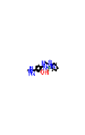 CN(c1cnc(-c2ccc(-c3nnn(C)n3)cc2O)nn1)[C@H]1C[C@]2(C)CC[C@@](C)(N2)[C@H]1F